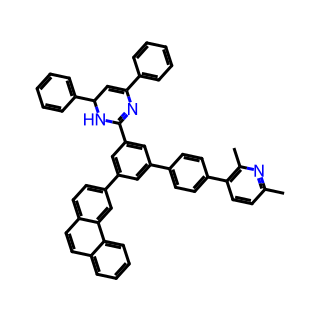 Cc1ccc(-c2ccc(-c3cc(C4=NC(c5ccccc5)=CC(c5ccccc5)N4)cc(-c4ccc5ccc6ccccc6c5c4)c3)cc2)c(C)n1